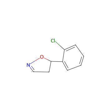 Clc1ccccc1C1C[C]=NO1